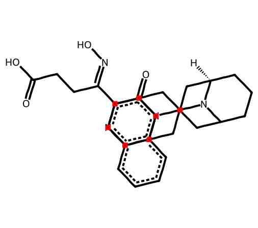 O=C(O)CC/C(=N\O)c1nc2ccccc2n(C2CC3CCC[C@H](C2)N3C2CC3CCCC(C3)C2)c1=O